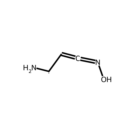 N[CH]C=C=NO